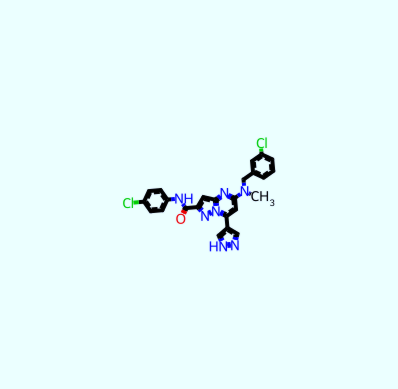 CN(Cc1cccc(Cl)c1)c1cc(-c2cn[nH]c2)n2nc(C(=O)Nc3ccc(Cl)cc3)cc2n1